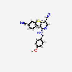 COc1ccc(CNc2ncc(C#N)c3sc4cc(C#N)ccc4c23)cc1